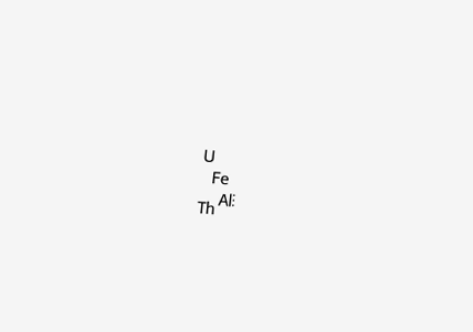 [Al].[Fe].[Th].[U]